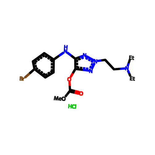 CCN(CC)CCn1nc(Nc2ccc(Br)cc2)c(OC(=O)OC)n1.Cl